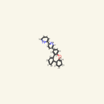 c1ccc(-c2ccc(-c3ccc4c(c3)-c3ccccc3-c3ccccc3O4)cn2)nc1